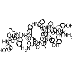 CCCC[C@@H](C(=O)N1CCC[C@@H]1C(=O)N[C@H](C=O)CC(=O)O)N(C)C(=O)C(Cc1ccccc1)N(C)C(=O)[C@H](Cc1ccccc1)NC(=O)CSC[C@H](NC(=O)[C@H](CC(C)C)NC(=O)[C@H](Cc1ccc(O)cc1)NC(=O)[C@H](Cc1c[nH]c2ccccc12)NC(=O)[C@H]1CCCN1C(=O)[C@H](Cc1ccc(O)cc1)NC(=O)C(Cc1ccccc1)N(C)C(=O)[C@H](C)N)C(=O)NCC(N)=O